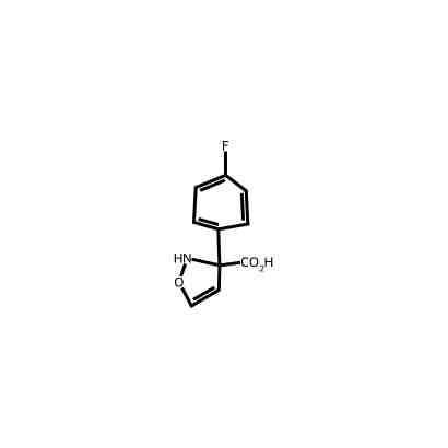 O=C(O)C1(c2ccc(F)cc2)C=CON1